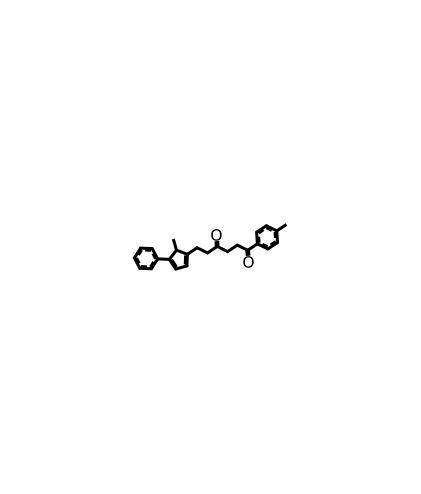 Cc1ccc(C(=O)CCC(=O)CCC2=CC=C(c3ccccc3)C2C)cc1